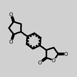 O=C1CC(=O)C(c2ccc(C3CC(=O)OC3=O)cc2)C1